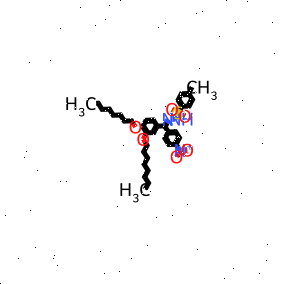 CCCCCCCCOc1ccc(C(=NNS(=O)(=O)c2ccc(C)cc2)c2ccc([N+](=O)[O-])cc2)cc1OCCCCCCCC